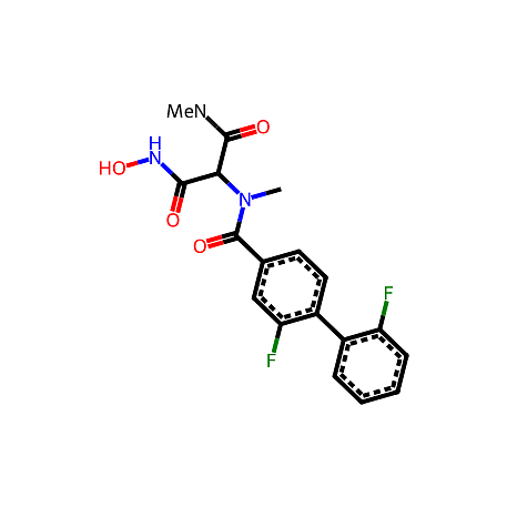 CNC(=O)C(C(=O)NO)N(C)C(=O)c1ccc(-c2ccccc2F)c(F)c1